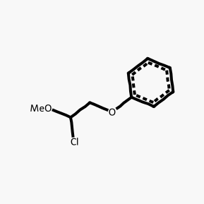 COC(Cl)COc1ccccc1